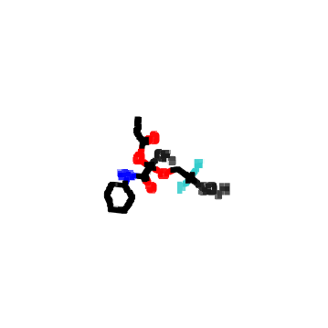 C=CC(=O)OC(OCC(F)(F)S(=O)(=O)O)(C(=O)NC1CCCCC1)C(F)(F)F